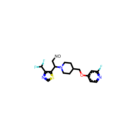 O=NCC(c1scnc1C(F)F)N1CCC(COc2ccnc(F)c2)CC1